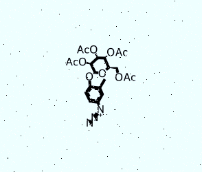 CC(=O)OC[C@H]1O[C@H](Oc2ccc(N=[N+]=[N-])cc2C)[C@@H](OC(C)=O)[C@@H](OC(C)=O)[C@@H]1OC(C)=O